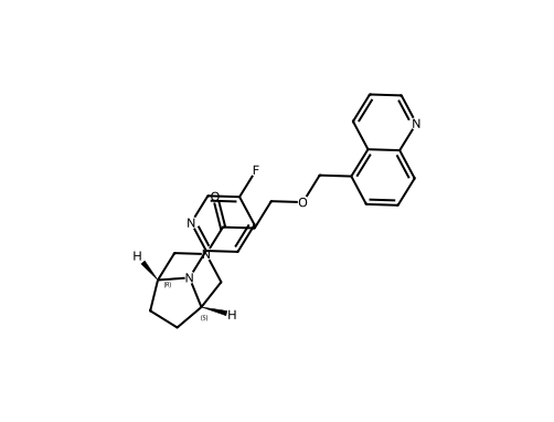 O=C(CCOCc1cccc2ncccc12)N1C[C@H]2CC[C@@H](C1)N2c1ccc(F)cn1